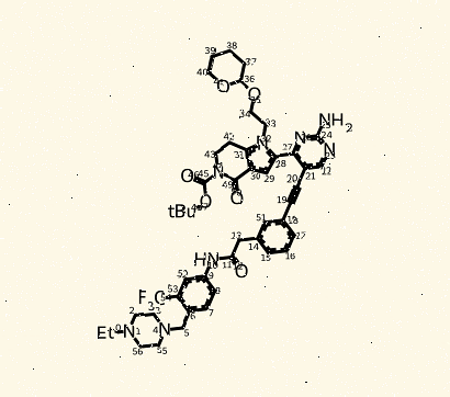 CCN1CCN(Cc2ccc(NC(=O)Cc3cccc(C#Cc4cnc(N)nc4-c4cc5c(n4CCOC4CCCCO4)CCN(C(=O)OC(C)(C)C)C5=O)c3)cc2C(F)(F)F)CC1